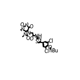 CCCCOc1c(Cl)cc(-c2csc(NC(=O)Cn3c(=O)n(C)c4c3c(=O)n(C)c(=O)n4C)n2)cc1Cl